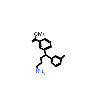 C=C(OC)c1cccc(C(CCCN)c2cccc(C)c2)c1